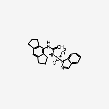 C=C(Nc1c2c(cc3c1CCC3)CCC2)NS(=O)(=O)n1ncc2ccccc21